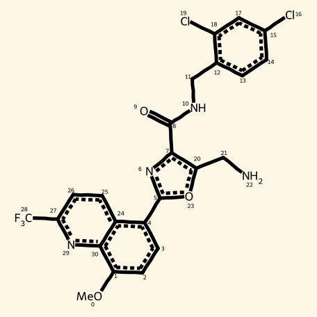 COc1ccc(-c2nc(C(=O)NCc3ccc(Cl)cc3Cl)c(CN)o2)c2ccc(C(F)(F)F)nc12